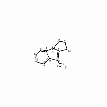 Cc1c2n(c3ccccc13)CCC2